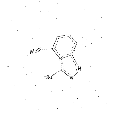 CSc1cccc2nnc(C(C)(C)C)n12